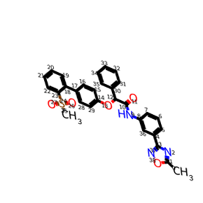 Cc1nc(-c2cccc(NC(=O)C(Oc3ccc(-c4ccccc4S(C)(=O)=O)cc3)c3ccccc3)c2)no1